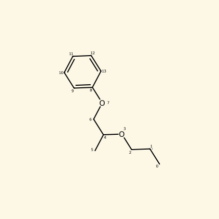 C[CH]COC(C)COc1ccccc1